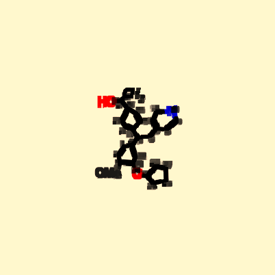 COc1ccc(C(Cc2ccncc2)c2ccc(C(C)O)cc2)cc1OC1CCCC1